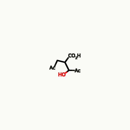 CC(=O)CC(C(=O)O)C(O)C(C)=O